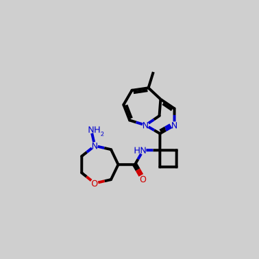 CC1=CC=CN2CC1=CN=C2C1(NC(=O)C2COCCN(N)C2)CCC1